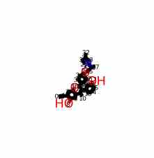 C#Cc1cc2c(cc1O)C(C)=C(c1cccc(O)c1)C(c1ccc(OCC(C)N3CCC(C)C3)cc1)O2